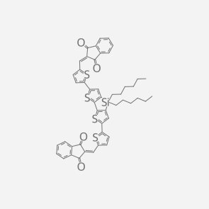 CCCCCC[Si]1(CCCCCC)c2cc(-c3ccc(C=C4C(=O)c5ccccc5C4=O)s3)sc2-c2sc(-c3ccc(C=C4C(=O)c5ccccc5C4=O)s3)cc21